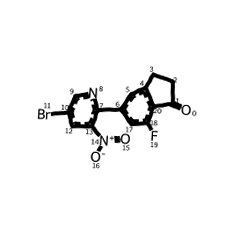 O=C1CCc2cc(-c3ncc(Br)cc3[N+](=O)[O-])cc(F)c21